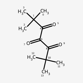 CC(C)(C)C(=O)C(=O)C(=O)C(C)(C)C